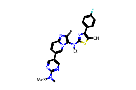 CCc1nc2ccc(-c3cnc(N(C)SC)nc3)cn2c1N(CC)c1nc(-c2ccc(F)cc2)c(C#N)s1